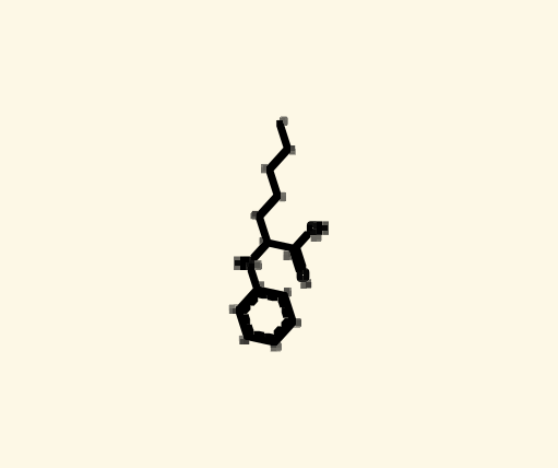 CCCCCC(Nc1ccccc1)C(=O)O